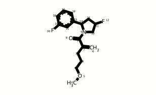 C=C(CCCOC)C(=O)N1CC(F)CC1c1cccc(F)c1